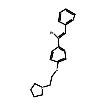 CC/C(=C\c1ccccc1)c1ccc(OCCN2CCCC2)cc1